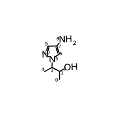 CC(O)C(C)n1cc(N)cn1